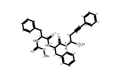 CC(C)(C)OC(=O)NC(Cc1ccccc1)C(=O)NC(Cc1ccccc1)C(=O)NC(CC#Cc1ccccc1)C(=O)O